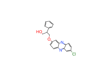 OCC(COc1ccc2nc3cc(Cl)ccc3nc2c1)c1ccccc1